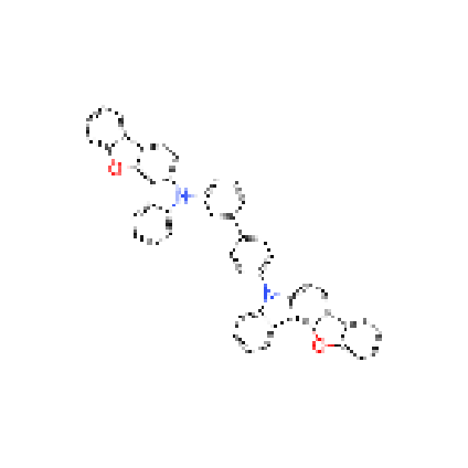 c1cc(-c2ccc(-n3c4ccccc4c4c5oc6ccccc6c5ccc43)cc2)cc(-n2c3ccccc3c3c4oc5ccccc5c4ccc32)c1